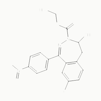 CCOC(=O)N1N=C(c2ccc([N+](=O)[O-])cc2)c2cc(Br)ccc2CC1C